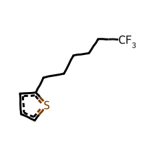 FC(F)(F)CCCCCc1cccs1